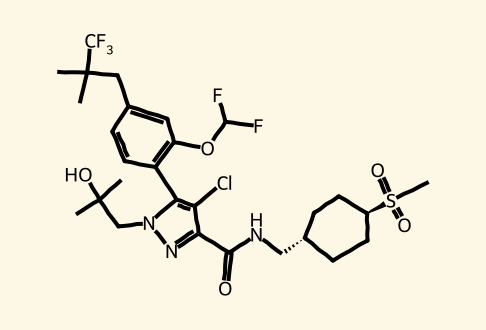 CC(C)(O)Cn1nc(C(=O)NC[C@H]2CC[C@H](S(C)(=O)=O)CC2)c(Cl)c1-c1ccc(CC(C)(C)C(F)(F)F)cc1OC(F)F